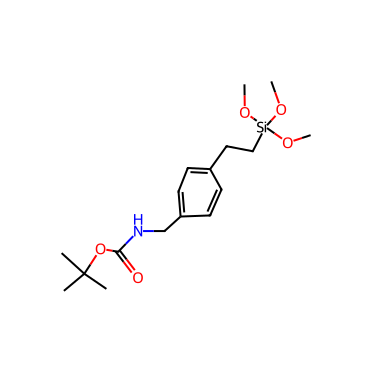 CO[Si](CCc1ccc(CNC(=O)OC(C)(C)C)cc1)(OC)OC